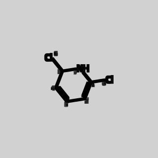 ClC1=[C]C=CC(Cl)N1